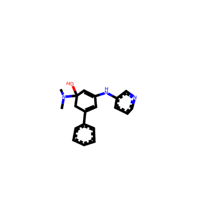 CN(C)C1(O)C=C(Nc2cccnc2)C=C(c2ccccc2)C1